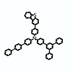 c1ccc(-c2ccc(-c3ccc(N(c4ccc(-c5cc(-c6ccccc6)cc(-c6ccccc6)c5)cc4)c4ccc(-c5ccc6sc7ccccc7c6c5)cc4)cc3)cc2)cc1